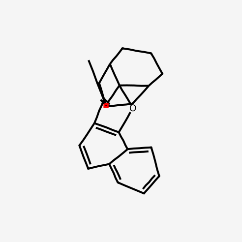 CC1=Cc2ccc3ccccc3c2OC12C1CCCC2CCC1